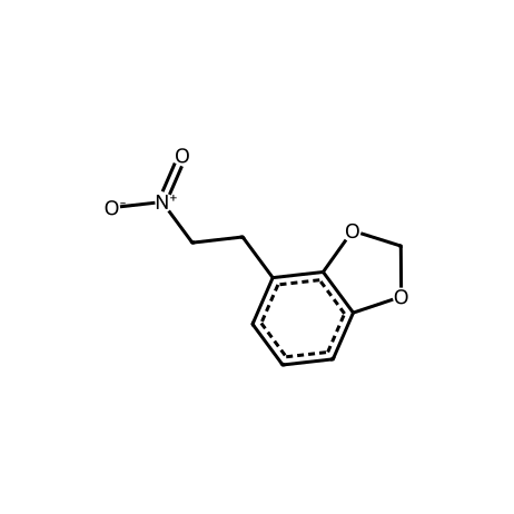 O=[N+]([O-])CCc1cccc2c1OCO2